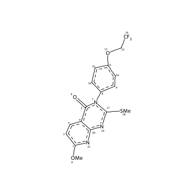 COc1ccc2c(=O)n(-c3ccc(OCC(F)(F)F)cc3)c(SC)nc2n1